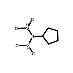 Cl[SiH](Cl)N(C1CCCC1)[SiH](Cl)Cl